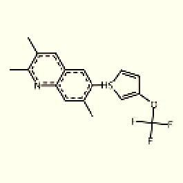 Cc1cc2nc(C)c(C)cc2cc1[SH]1C=CC(OC(F)(F)F)=C1